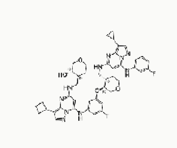 O[C@@H]1COCC[C@H]1CNc1cc(Nc2cc(F)cc(O[C@@H]3COCC[C@H]3CNc3cc(Nc4cccc(F)c4)n4ncc(C5CC5)c4n3)c2)n2ncc(C3CCC3)c2n1